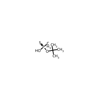 CC(C)(C)OP(C)(O)=S